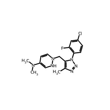 Cc1nnn(-c2ccc(Cl)cc2F)c1CN1C=CC(N(C)C)=CN1